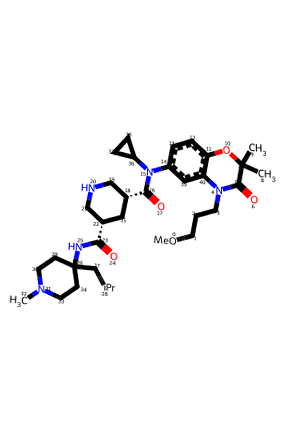 COCCCN1C(=O)C(C)(C)Oc2ccc(N(C(=O)[C@H]3CNC[C@@H](C(=O)NC4(CC(C)C)CCN(C)CC4)C3)C3CC3)cc21